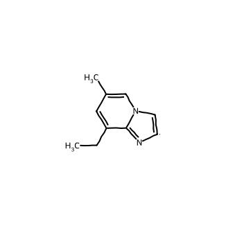 CCc1cc(C)cn2c[c]nc12